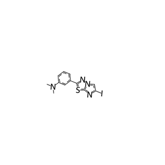 CN(C)c1cccc(-c2nn3cc(I)nc3s2)c1